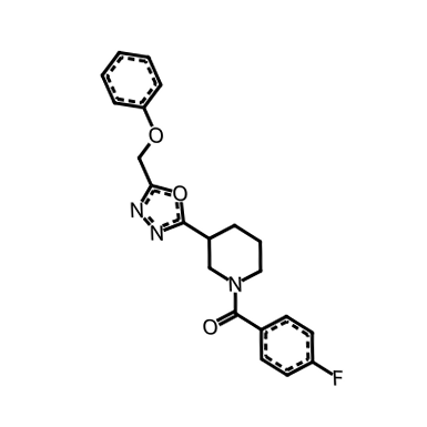 O=C(c1ccc(F)cc1)N1CCCC(c2nnc(COc3ccccc3)o2)C1